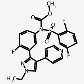 CCn1cc(-c2ccncc2)c(-c2cc(N(C(=O)OC)S(=O)(=O)c3cc(F)ccc3F)ccc2F)n1